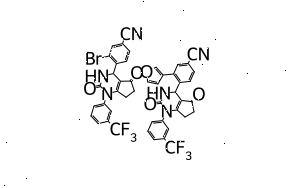 N#Cc1ccc(C2NC(=O)N(c3cccc(C(F)(F)F)c3)C3=C2C(=O)CC3)c(-c2ccoc2)c1.N#Cc1ccc(C2NC(=O)N(c3cccc(C(F)(F)F)c3)C3=C2C(=O)CC3)c(Br)c1